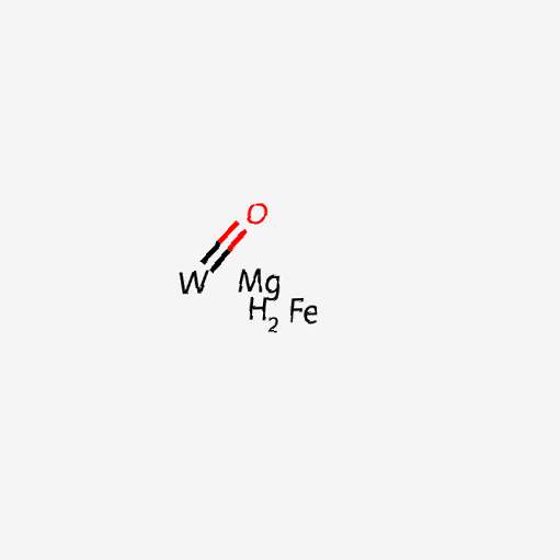 [Fe].[MgH2].[O]=[W]